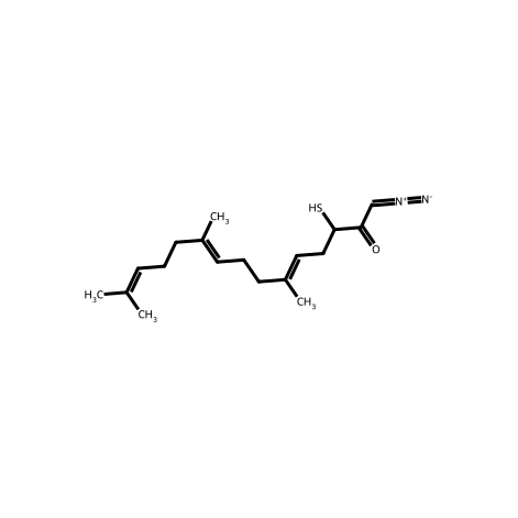 CC(C)=CCCC(C)=CCCC(C)=CCC(S)C(=O)C=[N+]=[N-]